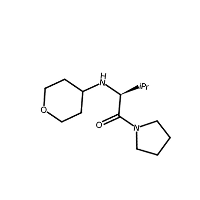 CC(C)[C@H](NC1CCOCC1)C(=O)N1CCCC1